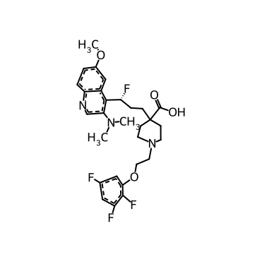 COc1ccc2ncc(N(C)C)c([C@H](F)CCC3(C(=O)O)CCN(CCOc4cc(F)cc(F)c4F)CC3)c2c1